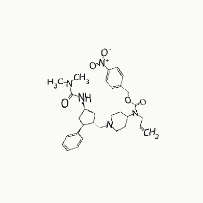 C=CCN(C(=O)OCc1ccc([N+](=O)[O-])cc1)C1CCN(C[C@H]2C[C@H](NC(=O)N(C)C)C[C@@H]2c2ccccc2)CC1